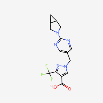 O=C(O)c1cn(Cc2cnc(N3CC4CC4C3)nc2)nc1C(F)(F)F